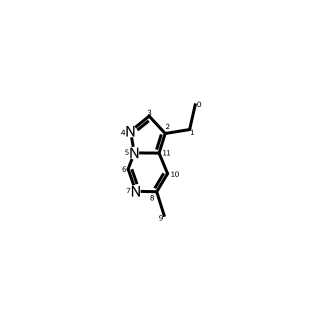 CCc1cnn2cnc(C)cc12